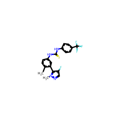 Cc1ccc(NC(=S)Nc2ccc(C(F)(F)F)cc2)cc1-c1c(F)cnn1C